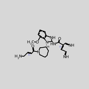 COc1cccc2c1N([C@@H]1CCCCN(C(=O)/C=C/CN)C1)C(NC(=O)/C(C=N)=C/C=N)N2